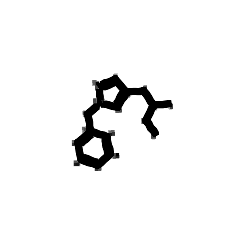 CCC(C)Cc1cnn(Cc2ccccc2)c1